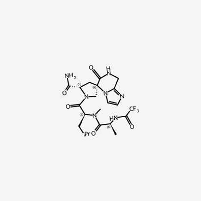 CC(C)C[C@@H](C(=O)N1C[C@]2(C[C@H]1C(N)=O)C(=O)NCc1nccn12)N(C)C(=O)[C@H](C)NC(=O)C(F)(F)F